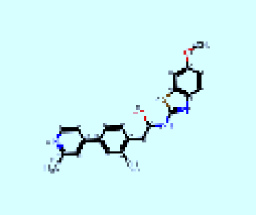 COc1ccc2nc(NC(O)Cc3ccc(-c4ccnc(C)c4)cc3C)sc2c1